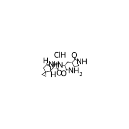 Cl.NC(=O)[C@H](C[C@@H]1CCNC1=O)NC(=O)[C@H]1N[C@H]2C[C@@H]1C1(CC1)C2